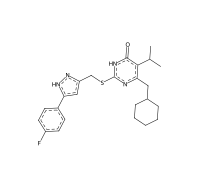 CC(C)c1c(CC2CCCCC2)nc(SCc2cc(-c3ccc(F)cc3)[nH]n2)[nH]c1=O